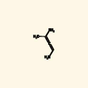 CC(N)=C=CN